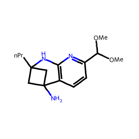 CCCC12CC(N)(C1)c1ccc(C(OC)OC)nc1N2